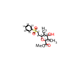 COC(=O)C1OC(CCS(=O)(=O)c2ccccc2)C(C)C(O)C1C